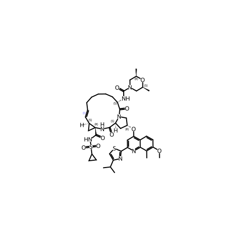 COc1ccc2c(O[C@@H]3C[C@H]4C(=O)N[C@]5(C(=O)NS(=O)(=O)C6CC6)C[C@H]5/C=C/CCCCC[C@H](NC(=O)N5C[C@@H](C)O[C@@H](C)C5)C(=O)N4C3)cc(-c3nc(C(C)C)cs3)nc2c1C